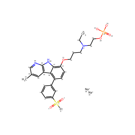 CCS(=O)(=O)c1cccc(-c2ccc(OCCCN(CCOP(=O)([O-])[O-])CC(F)(F)F)c3[nH]c4ncc(C)cc4c23)c1.[Na+].[Na+]